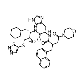 O=C(N[C@@H](Cc1c[nH]cn1)C(=O)N[C@@H](CC1CCCCC1)C(O)CSc1cnns1)C(CC(=O)N1CCOCC1)Cc1cccc2ccccc12